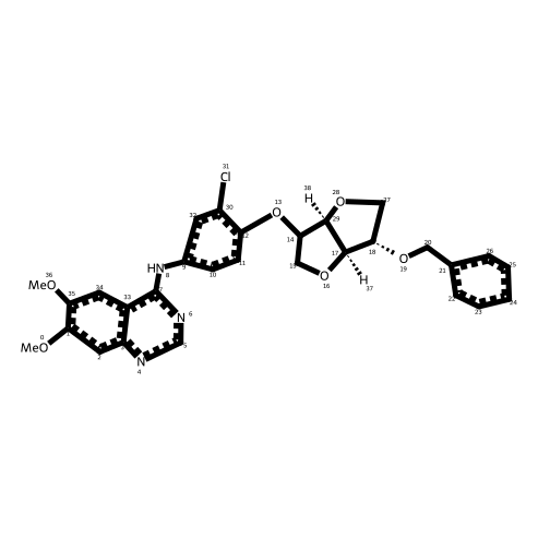 COc1cc2ncnc(Nc3ccc(OC4CO[C@@H]5[C@@H](OCc6ccccc6)CO[C@H]45)c(Cl)c3)c2cc1OC